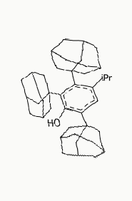 CC(C)c1cc(C23CC4CC(CC(C4)C2)C3)c(O)c(C23CC4CC(CC(C4)C2)C3)c1C12CC3CC(CC(C3)C1)C2